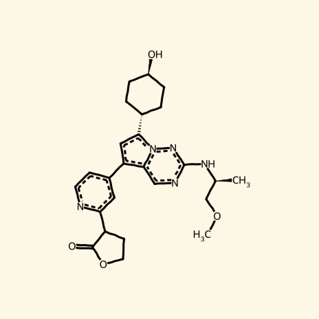 COC[C@H](C)Nc1ncc2c(-c3ccnc(C4CCOC4=O)c3)cc([C@H]3CC[C@H](O)CC3)n2n1